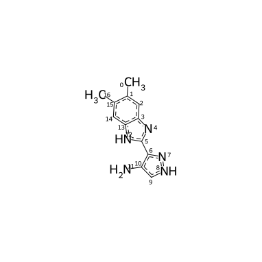 Cc1cc2nc(-c3n[nH]cc3N)[nH]c2cc1C